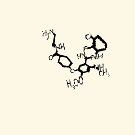 CNc1cc(OC)c(OC2CCC(C(=O)NCCN)CC2)cc1C(=N)Nc1cccc(Cl)c1F